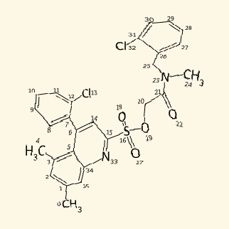 Cc1cc(C)c2c(-c3ccccc3Cl)cc(S(=O)(=O)OCC(=O)N(C)Cc3ccccc3Cl)nc2c1